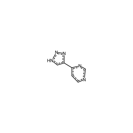 c1cc(-c2c[nH]nn2)ncn1